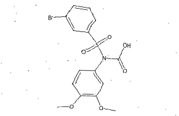 COc1ccc(N(C(=O)O)S(=O)(=O)c2cccc(Br)c2)cc1OC